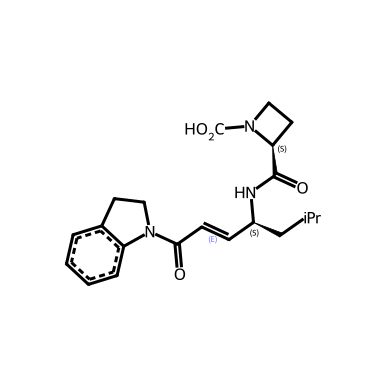 CC(C)C[C@@H](/C=C/C(=O)N1CCc2ccccc21)NC(=O)[C@@H]1CCN1C(=O)O